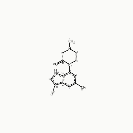 CN1CCN(c2cc(C#N)cc3c(Br)c[nH]c23)C(=O)C1